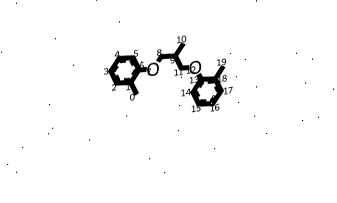 Cc1ccccc1OCC(C)COc1ccccc1C